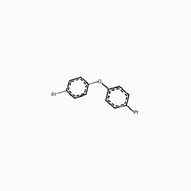 CCc1ccc(Oc2ccc(C(C)C)cc2)cc1